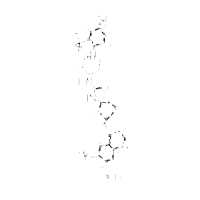 COc1cc2nccc(Oc3cccc(NC(=O)NC4CCN(c5ccc(N)cc5C(F)(F)F)CC4)c3)c2cc1OC